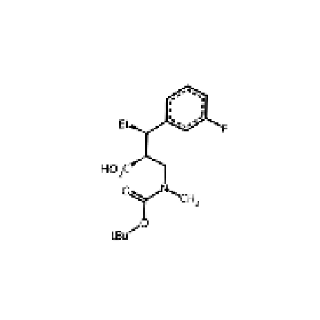 CC[C@@H](c1cccc(F)c1)[C@@H](CN(C)C(=O)OC(C)(C)C)C(=O)O